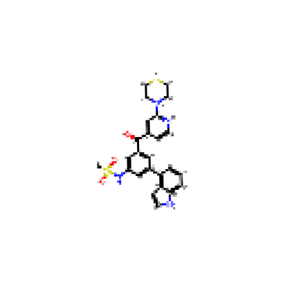 CS(=O)(=O)Nc1cc(C(=O)c2ccnc(N3CCSCC3)c2)cc(-c2cccc3[nH]ccc23)c1